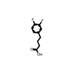 O=C(O)CCCc1ccc(F)c(F)c1